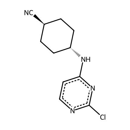 N#C[C@H]1CC[C@H](Nc2ccnc(Cl)n2)CC1